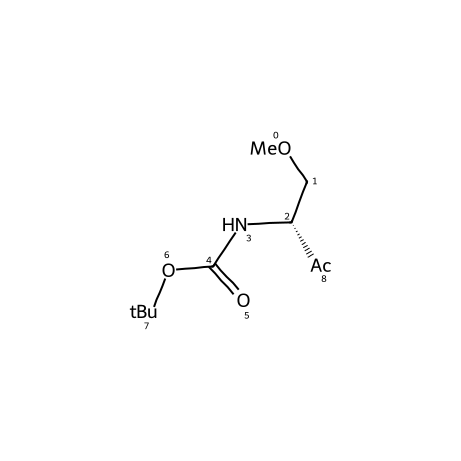 COC[C@@H](NC(=O)OC(C)(C)C)C(C)=O